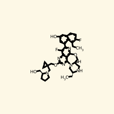 CCc1c(F)ccc2cc(O)cc(-c3nc4c5c(nc(OCC6(CN7CCC[C@H]7CO)CC6)nc5c3F)N3C[C@@H](CC)NC[C@H]3CO4)c12